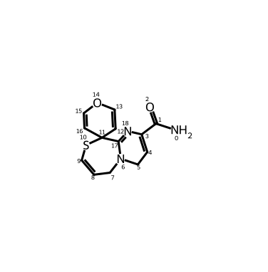 NC(=O)C1=CCN2CC=CSC3(C=COC=C3)C2=N1